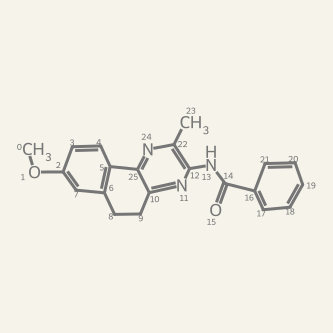 COc1ccc2c(c1)CCc1nc(NC(=O)c3ccccc3)c(C)nc1-2